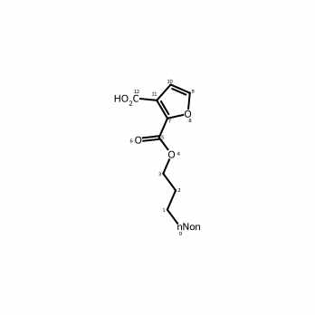 CCCCCCCCCCCCOC(=O)c1occc1C(=O)O